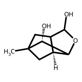 CC12CC3C(O)OC([C@H]3C1)[C@H]2O